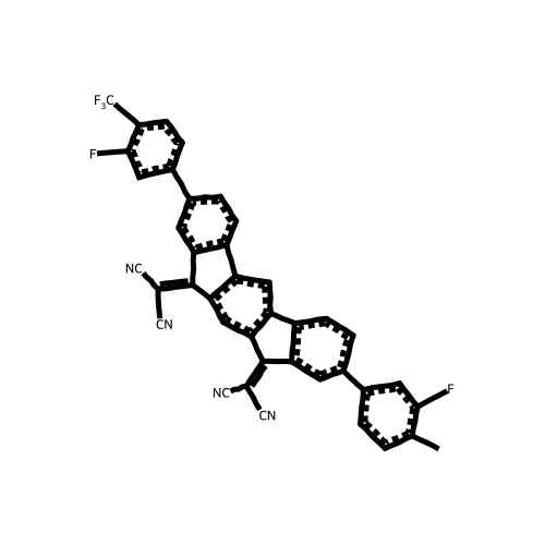 Cc1ccc(-c2ccc3c(c2)C(=C(C#N)C#N)c2cc4c(cc2-3)-c2ccc(-c3ccc(C(F)(F)F)c(F)c3)cc2C4=C(C#N)C#N)cc1F